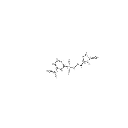 O=C1OC[C@H](CCOS(=O)(=O)c2cccc([N+](=O)[O-])c2)O1